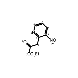 CCOC(=O)C(=O)Cc1ncccc1N=O